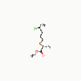 CCCOC(=O)C(SCCCC(F)CCC)C(C)C